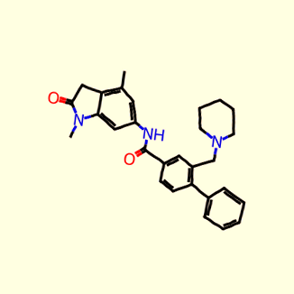 Cc1cc(NC(=O)c2ccc(-c3ccccc3)c(CN3CCCCC3)c2)cc2c1CC(=O)N2C